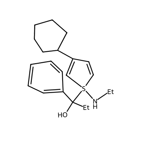 CCNS1(C(O)(CC)c2ccccc2)C=CC(C2CCCCC2)=C1